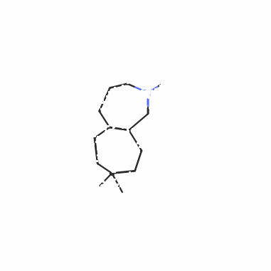 CC(=O)N1CCCC2CCC(C)(C)CCC2C1